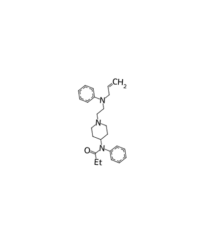 C=CCN(CCN1CCC(N(C(=O)CC)c2ccccc2)CC1)c1ccccc1